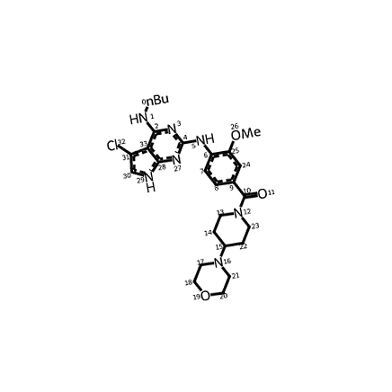 CCCCNc1nc(Nc2ccc(C(=O)N3CCC(N4CCOCC4)CC3)cc2OC)nc2[nH]cc(Cl)c12